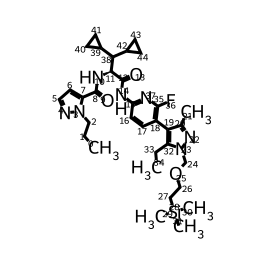 CCCn1nccc1C(=O)N[C@H](C(=O)Nc1ccc(-c2c(C)nn(COCC[Si](C)(C)C)c2CC)c(F)n1)C(C1CC1)C1CC1